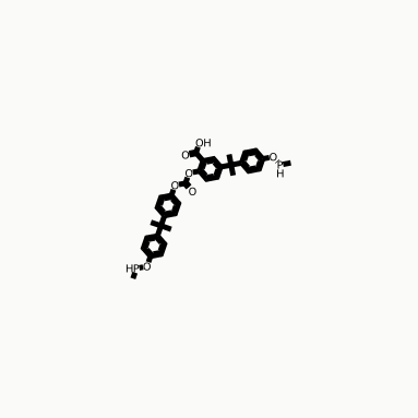 CPOc1ccc(C(C)(C)c2ccc(OC(=O)Oc3ccc(C(C)(C)c4ccc(OPC)cc4)cc3C(=O)O)cc2)cc1